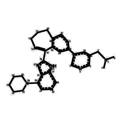 CN(C)Cc1cncc(-c2ccc3c(c2)C(c2nc4c(N5CCCCC5)cncc4[nH]2)=NCCC3)c1